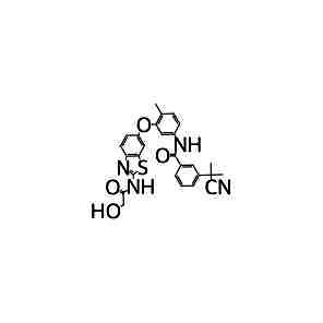 Cc1ccc(NC(=O)c2cccc(C(C)(C)C#N)c2)cc1Oc1ccc2nc(NC(=O)CO)sc2c1